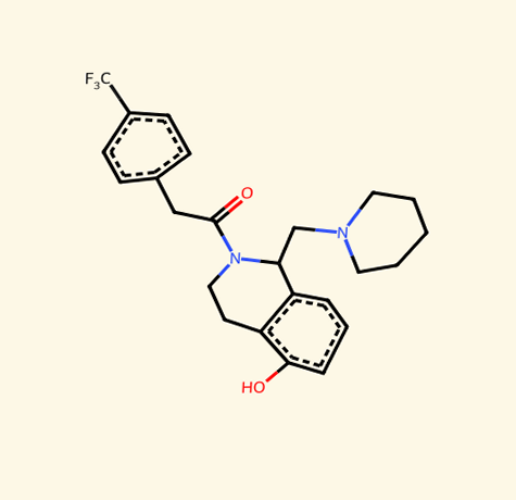 O=C(Cc1ccc(C(F)(F)F)cc1)N1CCc2c(O)cccc2C1CN1CCCCC1